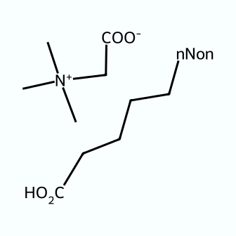 CCCCCCCCCCCCCC(=O)O.C[N+](C)(C)CC(=O)[O-]